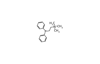 C[N+](C)(C)CCP(c1ccccc1)c1ccccc1